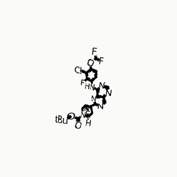 CC(C)(C)OC(=O)N1CC2CC[C@@H]1CN2c1ncc2ncnc(Nc3ccc(OC(F)F)c(Cl)c3F)c2n1